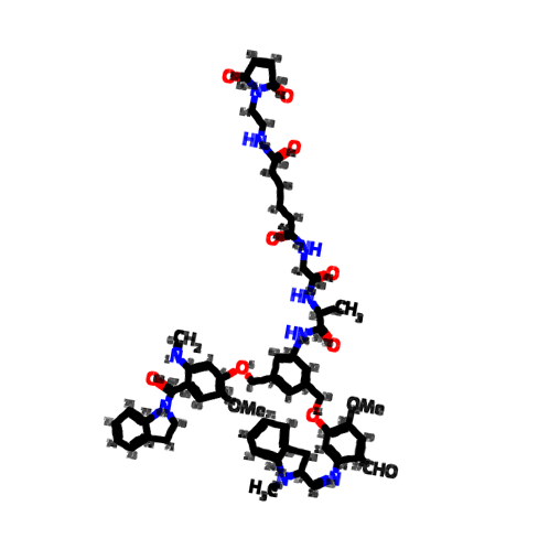 C=Nc1cc(OCc2cc(COc3cc(/N=C\C4Cc5ccccc5N4C)c(C=O)cc3OC)cc(NC(=O)C(C)NC(=O)CNC(=O)CCCCC(=O)NCCN3C(=O)C=CC3=O)c2)c(OC)cc1C(=O)N1CCc2ccccc21